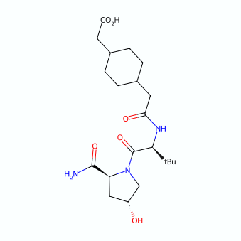 CC(C)(C)[C@H](NC(=O)CC1CCC(CC(=O)O)CC1)C(=O)N1C[C@H](O)C[C@H]1C(N)=O